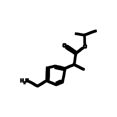 CC(C)OC(=O)C(C)c1ccc(CN)cc1